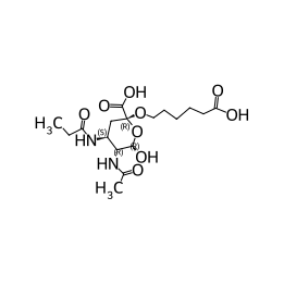 CCC(=O)N[C@H]1C[C@](OCCCCCC(=O)O)(C(=O)O)O[C@@H](O)[C@@H]1NC(C)=O